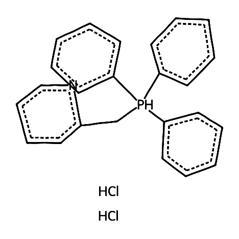 Cl.Cl.c1ccc([PH](Cc2ccccn2)(c2ccccc2)c2ccccc2)cc1